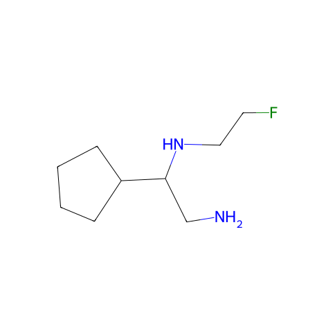 NCC(NCCF)C1CCCC1